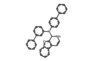 C1=Cc2c(oc3ccccc23)C(N(c2ccc(-c3ccccc3)cc2)c2cccc(-c3ccccc3)c2)N1